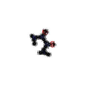 Cc1cc(B2OC(C)(C)C(C)(C)O2)ccc1N(c1ccc(-c2ccc(N(c3ccc(-c4ccc5c(c4)c4cc(-c6ccccc6)ccc4n5-c4ccccc4)cc3)c3ccc(B4OC(C)(C)C(C)(C)O4)cc3C)cc2)cc1)c1ccc(-c2ccc3c(c2)c2cc(-c4ccccc4)ccc2n3-c2ccccc2)cc1